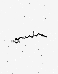 CC#CCCNCCCOCCc1c[nH]cn1